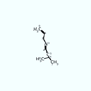 C=CC/N=C/CC(C)C